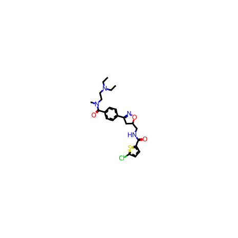 CCN(CC)CCN(C)C(=O)c1ccc(C2=NOC(CNC(=O)c3ccc(Cl)s3)C2)cc1